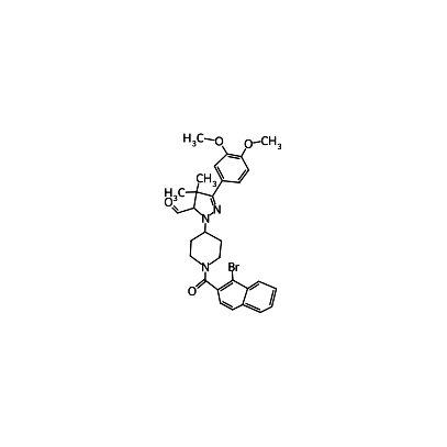 COc1ccc(C2=NN(C3CCN(C(=O)c4ccc5ccccc5c4Br)CC3)C(C=O)C2(C)C)cc1OC